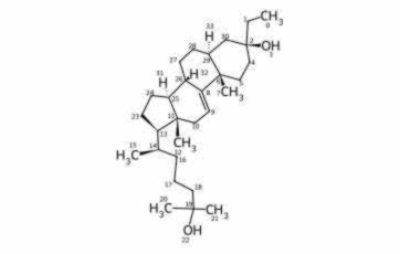 CC[C@]1(O)CC[C@]2(C)C3=CC[C@]4(C)[C@@H]([C@H](C)CCCC(C)(C)O)CC[C@H]4[C@@H]3CC[C@H]2C1